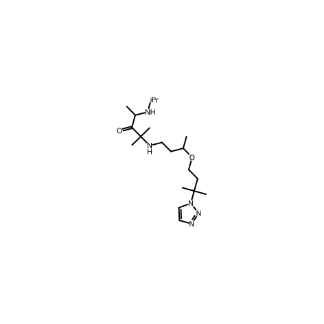 CC(C)NC(C)C(=O)C(C)(C)NCCC(C)OCCC(C)(C)n1ccnn1